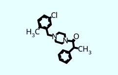 Cc1ccc(Cl)cc1CN1CCN(C(=O)C(C)c2ccccc2)CC1